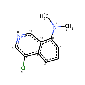 CN(C)c1cccc2c(Cl)cncc12